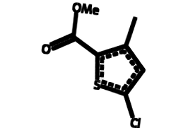 COC(=O)c1sc(Cl)cc1C